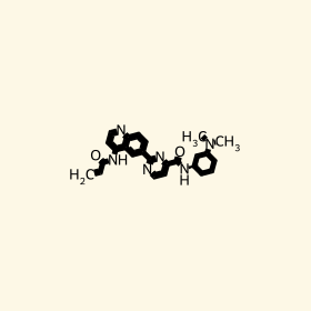 C=CC(=O)Nc1ccnc2ccc(-c3nccc(C(=O)N[C@@H]4CCCC(N(C)C)C4)n3)cc12